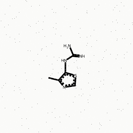 Cc1n[c]sc1NC(=N)N